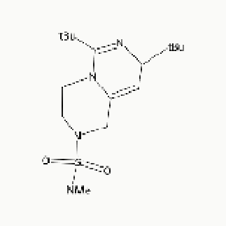 CNS(=O)(=O)N1CCN2C(=CC(C(C)(C)C)N=C2C(C)(C)C)C1